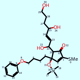 CSC1=CC(CCCCOc2ccccc2)(O[Si](C)(C)C)C(C(O)C=CC(O)CCCO)C1=O